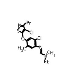 CCN(C)C=Nc1cc(C)c(Oc2snc(C(C)C)c2Cl)cc1Cl